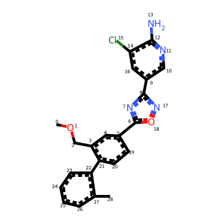 COCc1cc(-c2nc(-c3cnc(N)c(Cl)c3)no2)ccc1-c1ccccc1C